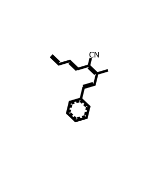 C=CC=CC(C#N)=C(C)C=Cc1ccccc1